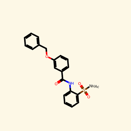 CC(=O)NS(=O)(=O)c1ccccc1NC(=O)c1cccc(OCc2ccccc2)c1